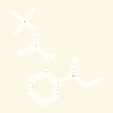 COC(=O)c1cccnc1NC(=O)CC(C)(C)C